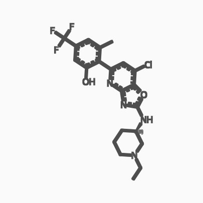 CCN1CCC[C@@H](Nc2nc3nc(-c4c(C)cc(C(F)(F)F)cc4O)cc(Cl)c3o2)C1